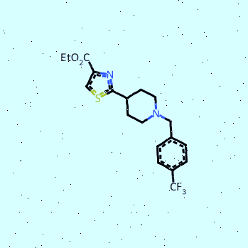 CCOC(=O)c1csc(C2CCN(Cc3ccc(C(F)(F)F)cc3)CC2)n1